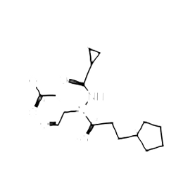 O=C[C@H](CC(=O)O)N(NC(=O)C1CC1)C(=O)CCC1CCCC1